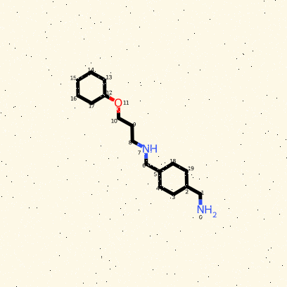 NCC1CCC(CNCCCOC2CCCCC2)CC1